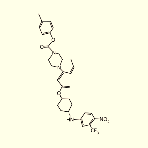 C=C(/C=C(\C=C/C)N1CCN(C(=O)Oc2ccc(C)cc2)CC1)O[C@H]1CC[C@H](Nc2ccc([N+](=O)[O-])c(C(F)(F)F)c2)CC1